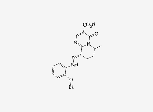 CCOc1ccccc1NN=C1CCC(C)n2c1ncc(C(=O)O)c2=O